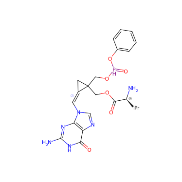 CC(C)[C@H](N)C(=O)OCC1(CO[PH](=O)Oc2ccccc2)C/C1=C/n1cnc2c(=O)[nH]c(N)nc21